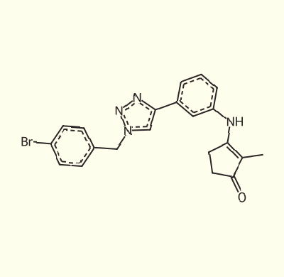 CC1=C(Nc2cccc(-c3cn(Cc4ccc(Br)cc4)nn3)c2)CCC1=O